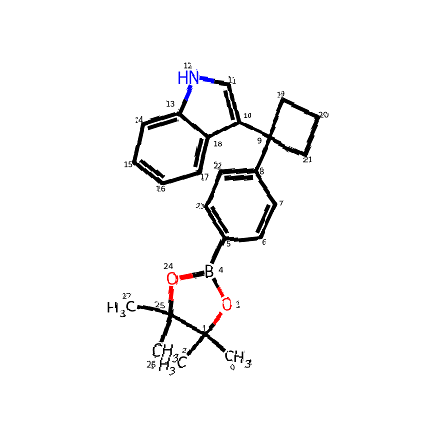 CC1(C)OB(c2ccc(C3(c4c[nH]c5ccccc45)CCC3)cc2)OC1(C)C